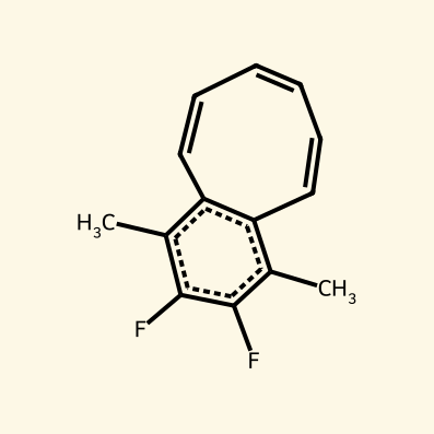 Cc1c(F)c(F)c(C)c2c1\C=C/C=C\C=C/2